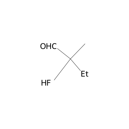 CCC(C)(C)C=O.F